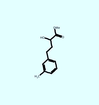 COC(=O)C(O)CCc1cccc(C)c1